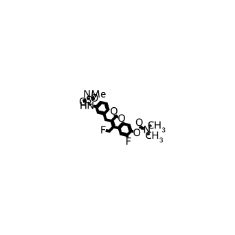 CNS(=O)(=O)Nc1cccc(Cc2c(CF)c3cc(F)c(OC(=O)N(C)C)cc3oc2=O)c1